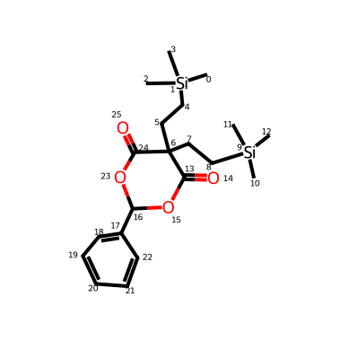 C[Si](C)(C)CCC1(CC[Si](C)(C)C)C(=O)OC(c2ccccc2)OC1=O